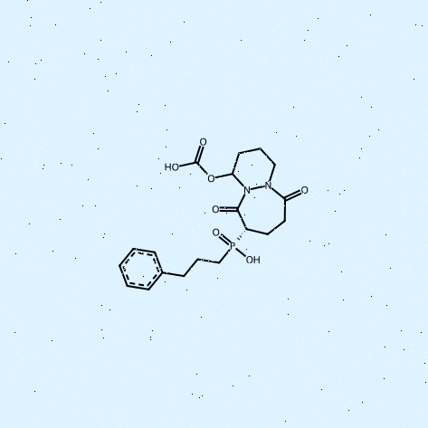 O=C(O)OC1CCCN2C(=O)CC[C@H](P(=O)(O)CCCc3ccccc3)C(=O)N12